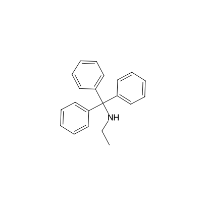 CCNC(c1ccccc1)(c1ccccc1)c1ccccc1